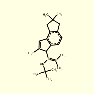 CC1=Cc2c(ccc3c2CC(C)(C)C3)[CH]1[Ti]([NH]C(C)(C)C)=[Si](C)C